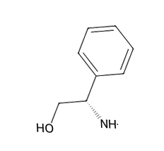 [NH][C@H](CO)c1ccccc1